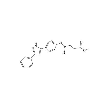 COC(=O)CCC(=O)Oc1ccc(-c2cc(-c3ccccc3)n[nH]2)cc1